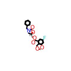 O=C(OC[C@@H]1CN(Cc2ccccc2)C(=O)O1)c1cc(F)cc2c1COCO2